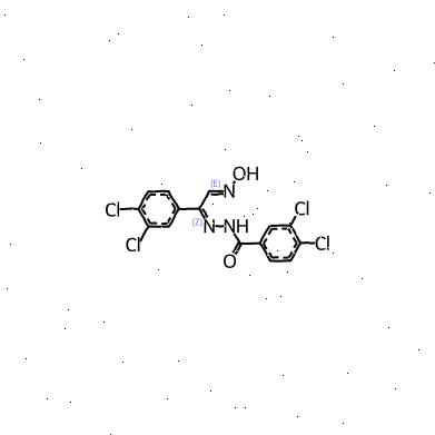 O=C(N/N=C(\C=N\O)c1ccc(Cl)c(Cl)c1)c1ccc(Cl)c(Cl)c1